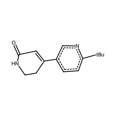 CC(C)(C)c1ccc(C2=CC(=O)NCC2)cn1